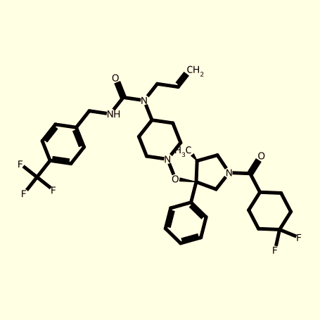 C=CCN(C(=O)NCc1ccc(C(F)(F)F)cc1)C1CCN(O[C@]2(c3ccccc3)CN(C(=O)C3CCC(F)(F)CC3)C[C@@H]2C)CC1